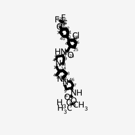 CC(C)(C)OC(=O)NC1CCN(c2ccc(CN3CCC(NC(=O)c4ccc(Cl)c(-c5ccc(OC(F)(F)F)cc5)c4)CC3)cn2)CC1